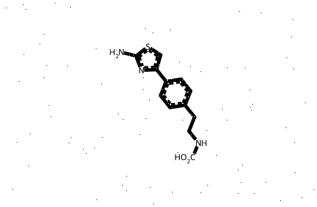 Nc1nc(-c2ccc(CCNC(=O)O)cc2)cs1